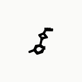 CNC1CN(c2cc(C)ccn2)C1